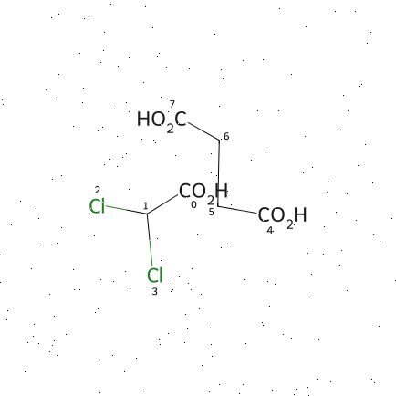 O=C(O)C(Cl)Cl.O=C(O)CCC(=O)O